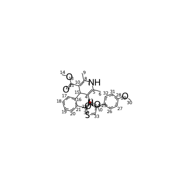 COC(=O)C1=C(C)NC(C)=C(C(=O)OC)C1c1ccccc1-c1nc(-c2ccc(OC)cc2)cs1